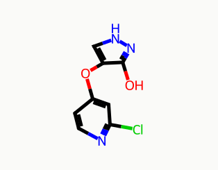 Oc1n[nH]cc1Oc1ccnc(Cl)c1